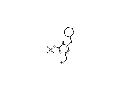 CC(C)(C)OC(=O)N[C@H](/C=C/CO)CC1CCCCC1